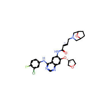 O=C(/C=C/CN1CC2CCC(C1)O2)Nc1cc2c(Nc3ccc(F)c(Cl)c3)ncnc2cc1O[C@@H]1CCOC1